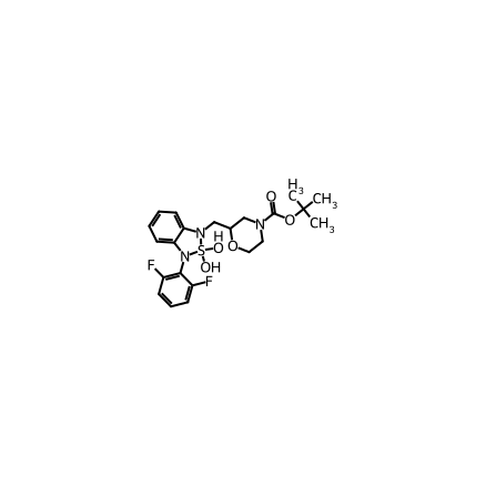 CC(C)(C)OC(=O)N1CCOC(CN2c3ccccc3N(c3c(F)cccc3F)S2(O)O)C1